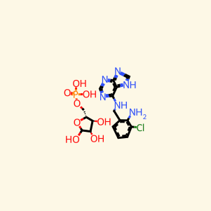 Nc1c(Cl)cccc1CNc1ncnc2nc[nH]c12.O=P(O)(O)OC[C@H]1OC(O)[C@H](O)[C@@H]1O